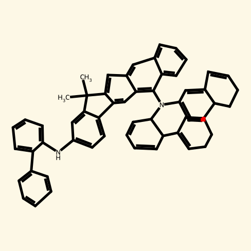 CC1(C)c2cc(Nc3ccccc3-c3ccccc3)ccc2-c2cc3c(N(C4=CCC5CCC=CC5=C4)C4C=CC=CC4C4=CCCC=C4)c4ccccc4cc3cc21